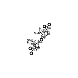 CN[C@@H](C)C(=O)N[C@H]1CN(C(=O)Nc2ccc(NC(=O)N3CC[C@H]4CC[C@@H](C(=O)NC(c5ccccc5)c5ccccc5)N4C(=O)[C@@H](NC(=O)[C@H](C)NC)C3)cc2)CC[C@H]2CC[C@@H](C(=O)NC(c3ccccc3)c3ccccc3)N2C1=O